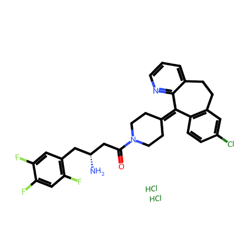 Cl.Cl.N[C@@H](CC(=O)N1CCC(=C2c3ccc(Cl)cc3CCc3cccnc32)CC1)Cc1cc(F)c(F)cc1F